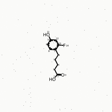 O=C(O)CCCCc1ccc(O)cc1F